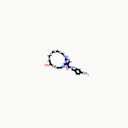 Cc1ccc(CNC(=O)c2cnc3nc2NCCCCC(O)CCCCCCCCCN3)cc1